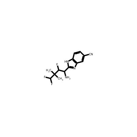 CC(C)(C(F)F)C(F)C(N)c1nc2cc(C#N)ccc2[nH]1